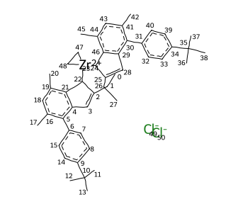 CCC1=Cc2c(-c3ccc(C(C)(C)C)cc3)c(C)cc(C)c2[CH]1[Zr+2]1([CH]2C(CC)=Cc3c(-c4ccc(C(C)(C)C)cc4)c(C)cc(C)c32)[CH2][CH2]1.[Cl-].[Cl-]